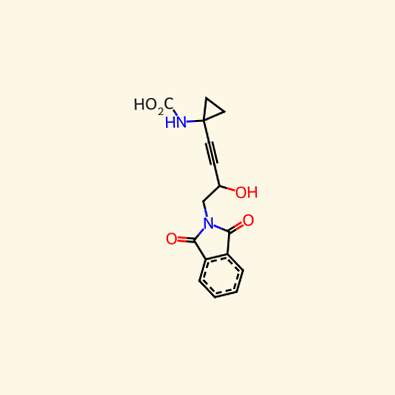 O=C(O)NC1(C#CC(O)CN2C(=O)c3ccccc3C2=O)CC1